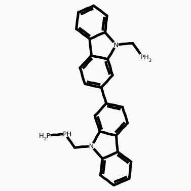 PCn1c2ccccc2c2ccc(-c3ccc4c5ccccc5n(CPP)c4c3)cc21